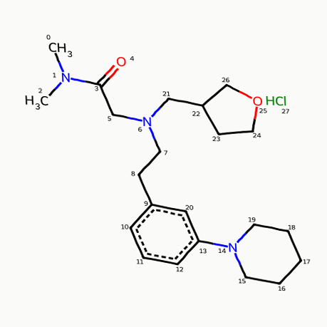 CN(C)C(=O)CN(CCc1cccc(N2CCCCC2)c1)CC1CCOC1.Cl